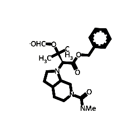 CNC(=O)N1CCC2CCN([C@H](C(=O)OCc3ccccc3)C(C)(C)O[C]=O)C2C1